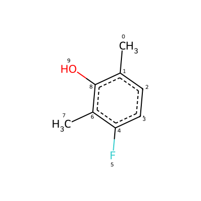 Cc1c[c]c(F)c(C)c1O